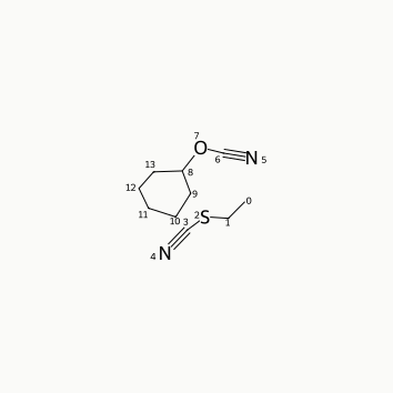 CCSC#N.N#COC1CCCCC1